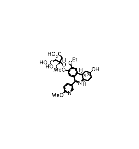 CCOc1cc2c(cc1OC)C(c1ccc(OC)nc1)=N[C@@H]1CC[C@@H](O)C[C@H]21.O=C(O)CC(O)(CC(=O)O)C(=O)O